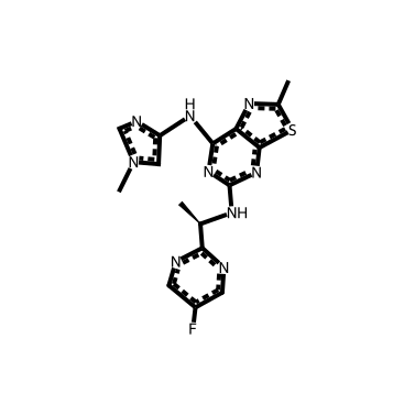 Cc1nc2c(Nc3cn(C)cn3)nc(N[C@H](C)c3ncc(F)cn3)nc2s1